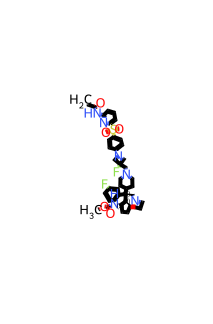 C=CC(=O)Nc1cccc(S(=O)(=O)c2ccc(N3CC(F)(CN4CCC([C@@](CN5CCC5)(c5cccc(F)c5)[C@H]5CCC[C@@H]5NC(=O)OC)CC4)C3)cc2)n1